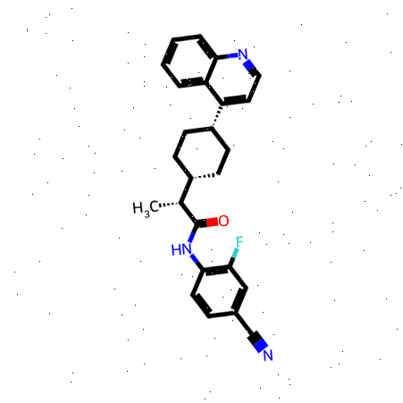 C[C@@H](C(=O)Nc1ccc(C#N)cc1F)[C@H]1CC[C@@H](c2ccnc3ccccc32)CC1